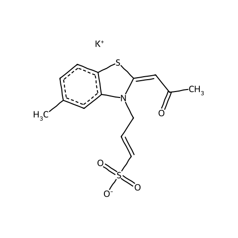 CC(=O)C=C1Sc2ccc(C)cc2N1CC=CS(=O)(=O)[O-].[K+]